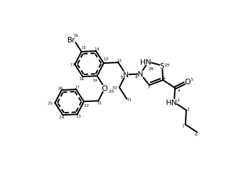 CCCNC(=O)C1=CN(N(CC)Cc2cc(Br)ccc2OCc2ccccc2)NS1